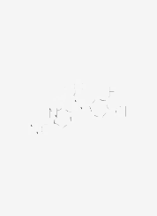 N#Cc1ccc2c(n1)C1(CCCC1)C(=O)N2c1ccc(Cl)c(F)c1